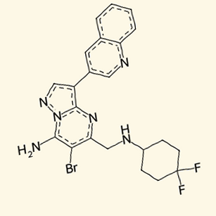 Nc1c(Br)c(CNC2CCC(F)(F)CC2)nc2c(-c3cnc4ccccc4c3)cnn12